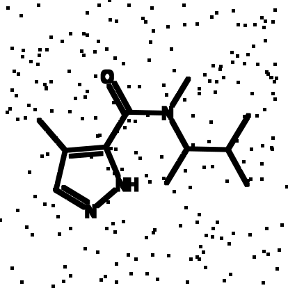 Cc1cn[nH]c1C(=O)N(C)C(C)C(C)C